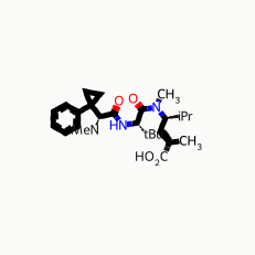 CN[C@@H](C(=O)N[C@H](C(=O)N(C)[C@H](/C=C(\C)C(=O)O)C(C)C)C(C)(C)C)C1(c2ccccc2)CC1